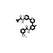 Cc1ccc(NC(=O)c2cccc(C(F)(F)F)c2)cc1-c1ccnc(-c2ccnc(NC(=O)C3CC3)c2)c1